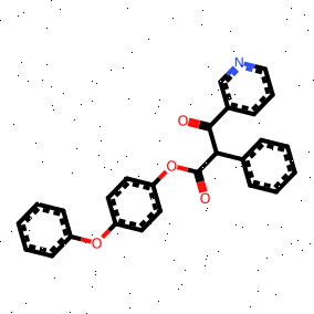 O=C(Oc1ccc(Oc2ccccc2)cc1)C(C(=O)c1cccnc1)c1ccccc1